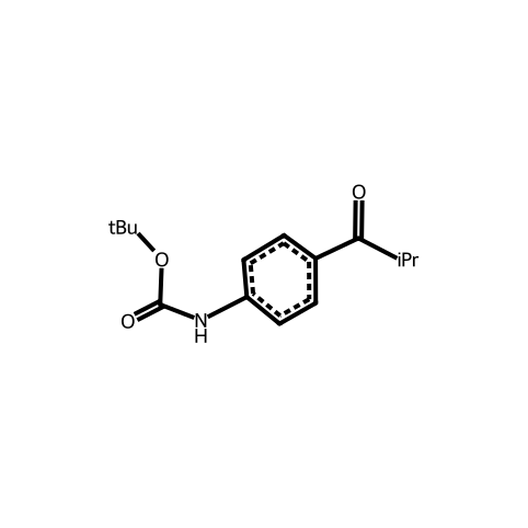 CC(C)C(=O)c1ccc(NC(=O)OC(C)(C)C)cc1